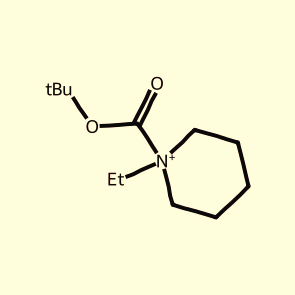 [CH2]C[N+]1(C(=O)OC(C)(C)C)CCCCC1